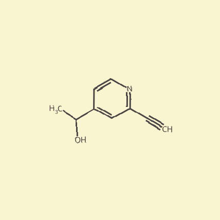 C#Cc1cc(C(C)O)ccn1